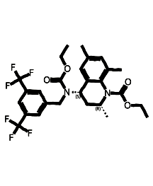 CCOC(=O)N(Cc1cc(C(F)(F)F)cc(C(F)(F)F)c1)[C@H]1C[C@@H](C)N(C(=O)OCC)c2c(C)cc(C)cc21